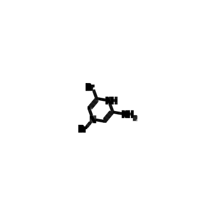 NC1=CN(Br)C=C(Br)N1